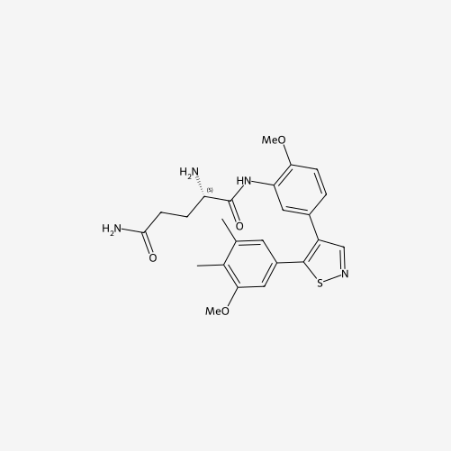 COc1ccc(-c2cnsc2-c2cc(C)c(C)c(OC)c2)cc1NC(=O)[C@@H](N)CCC(N)=O